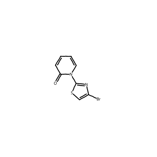 O=c1ccccn1-c1nc(Br)cs1